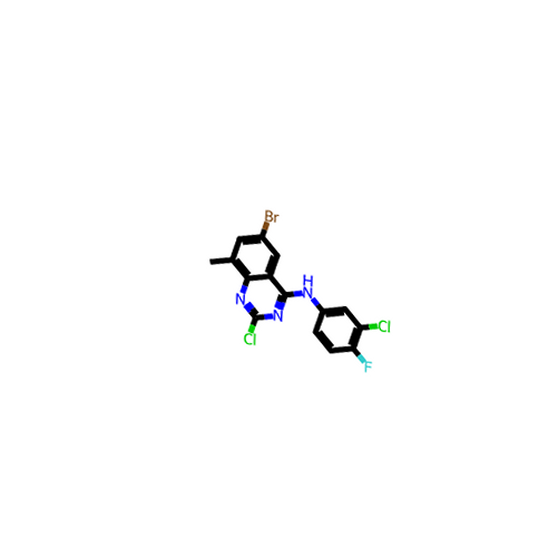 Cc1cc(Br)cc2c(Nc3ccc(F)c(Cl)c3)nc(Cl)nc12